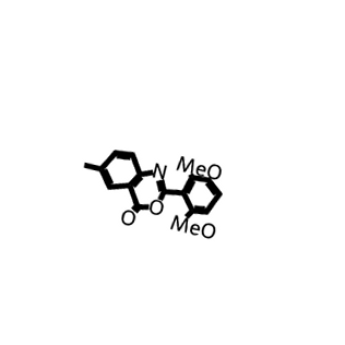 COc1cccc(OC)c1-c1nc2ccc(C)cc2c(=O)o1